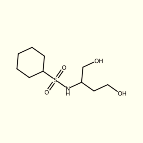 O=S(=O)(NC(CO)CCO)C1CCCCC1